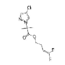 CC(C)(C(=O)OCCC=C(F)F)n1cc(Cl)cn1